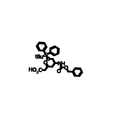 CC(C)(C)[Si](OCC(CC(=O)CC(=O)O)NC(=O)OCc1ccccc1)(c1ccccc1)c1ccccc1